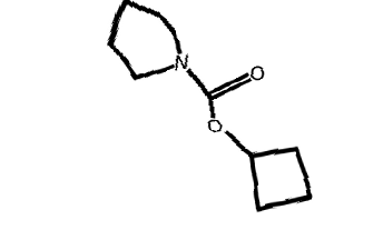 O=C(OC1CCC1)N1CCCC1